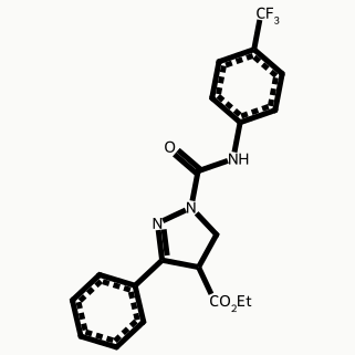 CCOC(=O)C1CN(C(=O)Nc2ccc(C(F)(F)F)cc2)N=C1c1ccccc1